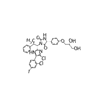 C[C@H](c1ccccc1)[C@@H](c1nc(Cl)c(-c2ccc(I)cc2Cl)[nH]1)N1C(=O)N[C@H](c2ccc(OC[C@H](O)CO)cc2)C1=O